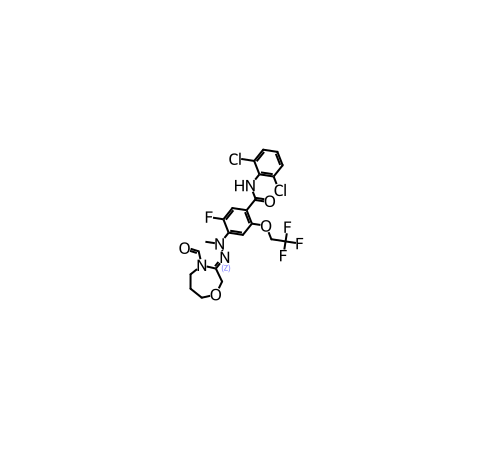 CN(/N=C1/COCCCN1C=O)c1cc(OCC(F)(F)F)c(C(=O)Nc2c(Cl)cccc2Cl)cc1F